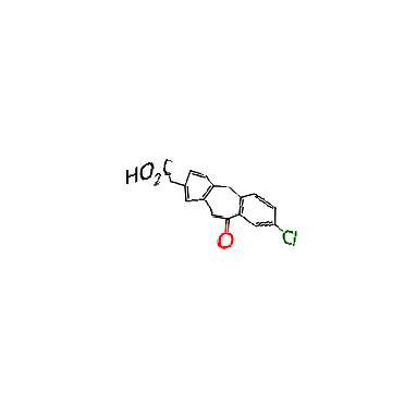 O=C(O)Cc1ccc2c(c1)CC(=O)c1cc(Cl)ccc1C2